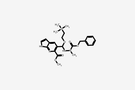 COC(=O)c1nc2[nH]ccc2cc1C(NN(C)C(=O)OCc1ccccc1)OCC[Si](C)(C)C